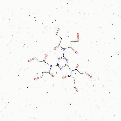 O=CCC(=O)N(C(=O)CC=O)c1nc(N(C(=O)CC=O)C(=O)CC=O)nc(N(C(=O)CC=O)C(=O)CC=O)n1